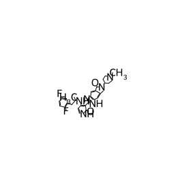 CC(Cc1cc(F)ccc1F)Nc1cc[nH]c(=O)c1-c1nc2cc3c(cc2[nH]1)CN(C1CCN(C)CC1)C3=O